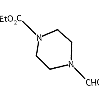 CCOC(=O)N1CCN(C=O)CC1